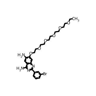 CCOCCOCCOCCOCCOCCOc1cc2nc(-c3cccc(Br)c3)nc(N)c2cc1N